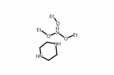 C1CNCCN1.CCO[SiH](OCC)OCC